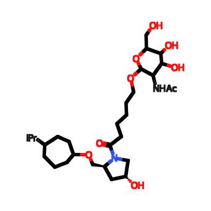 CC(=O)NC1C(OCCCCCC(=O)N2C[C@H](O)C[C@H]2COC2CCCC(C(C)C)CC2)OC(CO)C(O)C1O